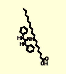 CCCCCCCCCCCCCCCCCC(=O)O.N=C(Nc1ccccc1)Nc1ccccc1